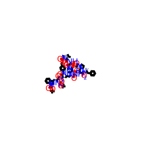 CC[C@H](C)[C@@H]([C@@H](CC(=O)N1CCC[C@H]1[C@H](OC)[C@@H](C)C(=O)N[C@H](C)Cc1ccccc1)OC)N(C)C(=O)[C@@H](NC(=O)[C@H](C(C)C)N(C)C(=O)OCc1ccc(NC(=O)[C@H](CCCNC(N)=O)NC(=O)[C@@H](Cc2cn(C(=O)OC(C)(C)C)c3ccccc23)NC(=O)OC(C)(C)C)cc1)C(C)C